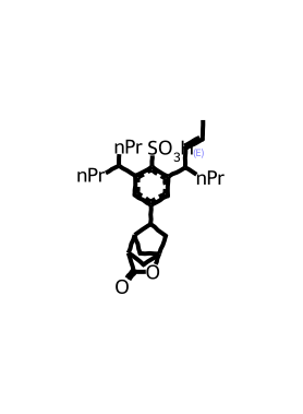 C/C=C/C(CCC)c1cc(C2CC34CC(C(=O)O3)C2C4)cc(C(CCC)CCC)c1S(=O)(=O)O